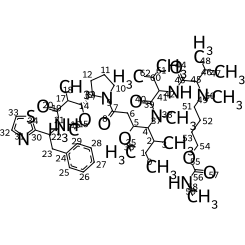 CCC(C)C(C(CC(=O)N1CCC[C@H]1C(OC)C(C)C(=O)NC(Cc1ccccc1)c1nccs1)OC)N(C)C(=O)C(NC(=O)C(C(C)C)N(C)CCCCOC(=O)NC)C(C)C